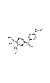 C/C=C(\c1ccc(OCC)cc1)c1ccc(N(CC)CC)c(OCC)c1